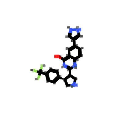 Oc1nc([C@H]2CNC[C@@H]2c2ccc(C(F)(F)F)cc2)nc2ccc(-c3cn[nH]c3)cc12